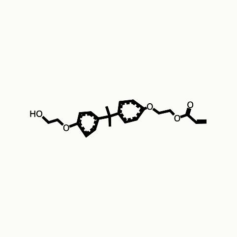 C=CC(=O)OCCOc1ccc(C(C)(C)c2ccc(OCCO)cc2)cc1